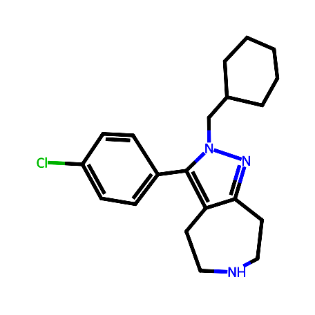 Clc1ccc(-c2c3c(nn2CC2CCCCC2)CCNCC3)cc1